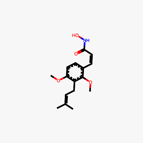 COc1ccc(/C=C\C(=O)NO)c(OC)c1CC=C(C)C